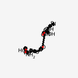 Cc1ncsc1-c1ccc([C@H](C)NC(=O)[C@@H]2C[C@@H](O)CN2C(=O)[C@@H](NC(=O)CCCCCCCCCCC(=O)N2CCN(CCOc3ccc(N4CCCC(Oc5cc(-c6ccccc6O)nnc5N)C4)cc3)CC2)C(C)(C)C)cc1